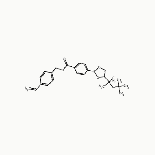 C=Cc1ccc(COC(=O)c2ccc(B3OCC(C(C)(C)CC(C)(C)C)O3)cc2)cc1